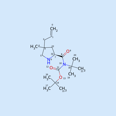 C=CCC1(C)CN[C@H](C(=O)N(C(=O)OC(C)(C)C)C(C)(C)C)C1